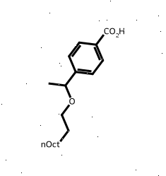 CCCCCCCCCCOC(C)c1ccc(C(=O)O)cc1